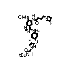 COc1cc2ncnc(Nc3ccc(Oc4nn(CC(=O)NC(C)(C)C)cc4F)cc3F)c2cc1NC(=O)CCCN1CCC(F)C1